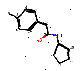 Cc1ccc(CC(=O)NC2CCCC2)cc1